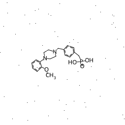 COc1ccccc1N1CCN(Cc2ccc(CP(=O)(O)O)cc2)CC1